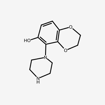 Oc1ccc2c(c1N1CCNCC1)OCCO2